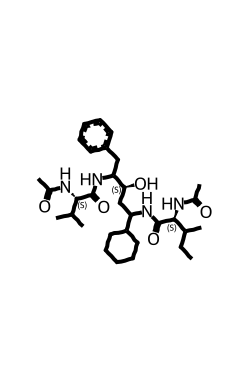 CCC(C)[C@H](NC(C)=O)C(=O)NC(C[C@H](O)C(Cc1ccccc1)NC(=O)[C@@H](NC(C)=O)C(C)C)C1CCCCC1